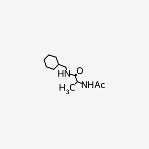 CC(=O)NC(C)C(=O)NCC1CCCCC1